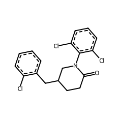 O=C1CCC(Cc2ccccc2Cl)CN1c1c(Cl)cccc1Cl